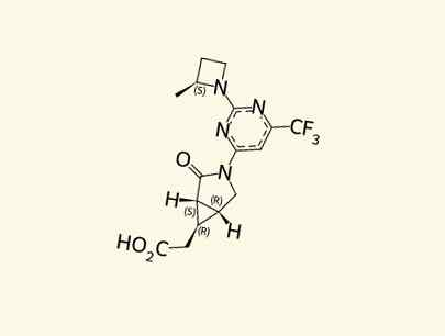 C[C@H]1CCN1c1nc(N2C[C@@H]3[C@@H](CC(=O)O)[C@@H]3C2=O)cc(C(F)(F)F)n1